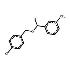 [O]C(OCc1ccc(Cl)cc1)c1cccc(C(F)(F)F)c1